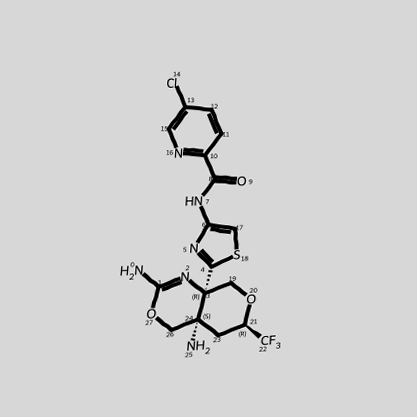 NC1=N[C@@]2(c3nc(NC(=O)c4ccc(Cl)cn4)cs3)CO[C@@H](C(F)(F)F)C[C@@]2(N)CO1